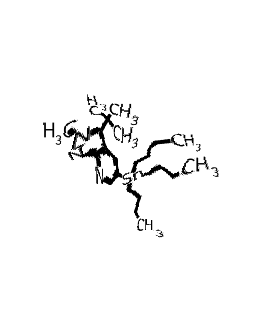 CCC[CH2][Sn]([CH2]CCC)([CH2]CCC)[c]1cnc2nn(C)c(C(C)(C)C)c2c1